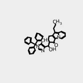 CCCc1c2c(n3ccccc13)C(=O)C(C(O)c1ncn(C(c3ccccc3)(c3ccccc3)c3ccccc3)c1C)CC2